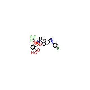 C[C@@H]1C2=C(CC[C@H]2CN(CC(O)C(F)(F)F)S(=O)(=O)Cc2ccccc2C(=O)O)Cc2c1cnn2-c1ccc(F)cc1